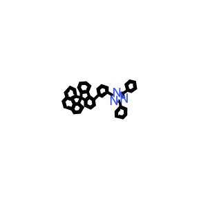 c1ccc(-c2nc(-c3ccccc3)nc(-c3cccc(-c4cccc5c4-c4ccccc4C54c5cccc6ccc7cccc4c7c56)c3)n2)cc1